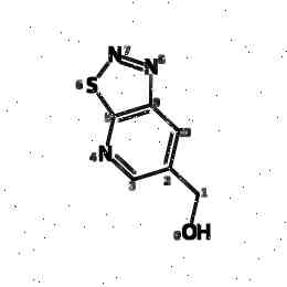 OCc1cnc2snnc2c1